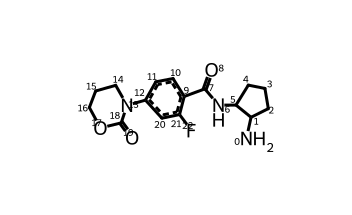 NC1CCCC1NC(=O)c1ccc(N2CCCOC2=O)cc1F